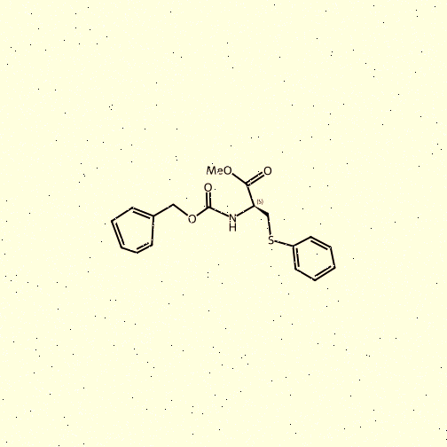 COC(=O)[C@@H](CSc1ccccc1)NC(=O)OCc1ccccc1